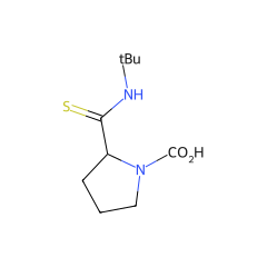 CC(C)(C)NC(=S)C1CCCN1C(=O)O